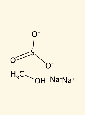 CO.O=S([O-])[O-].[Na+].[Na+]